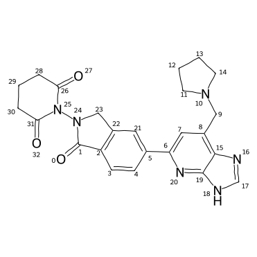 O=C1c2ccc(-c3cc(CN4CCCC4)c4nc[nH]c4n3)cc2CN1N1C(=O)CCCC1=O